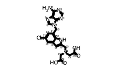 Nc1ncnc2c1ncn2Cc1cc(Cl)cc2cc(CN(CC(=O)O)CC(=O)O)[nH]c12